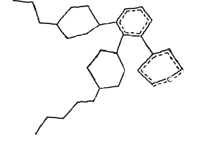 CCCCCC1CCC(c2c(-c3ccccc3)cccc2C2CCC(CCC)CC2)CC1